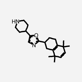 CC1(C)C=CC(C)(C)C2=C1CCC(c1ncc(C3CCNCC3)o1)C2